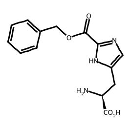 N[C@@H](Cc1cnc(C(=O)OCc2ccccc2)[nH]1)C(=O)O